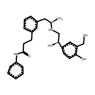 C[C@H](Cc1cccc(CCC(=O)Nc2ccccc2)c1)NC[C@H](O)c1ccc(O)c(CO)c1